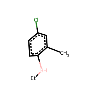 CCBc1ccc(Cl)cc1C